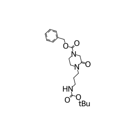 CC(C)(C)OC(=O)NCCCN1CCN(C(=O)OCc2ccccc2)CC1=O